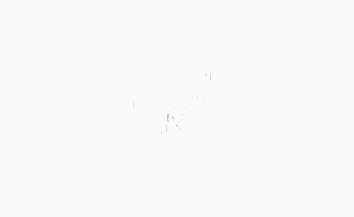 O.O.O.O.O.O.[Al+3].[F-].[F-].[F-]